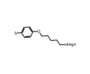 CCCCCCCCCCCCOc1ccc([S])cc1